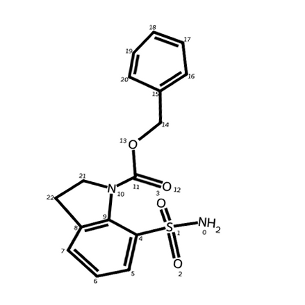 NS(=O)(=O)c1cccc2c1N(C(=O)OCc1ccccc1)CC2